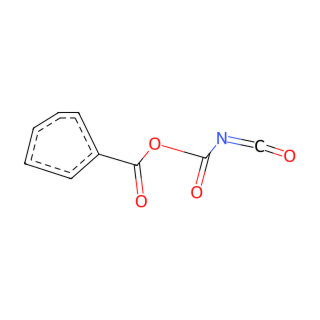 O=C=NC(=O)OC(=O)c1ccccc1